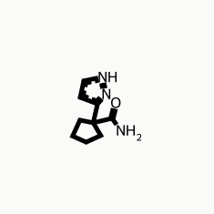 NC(=O)C1(c2cc[nH]n2)CCCC1